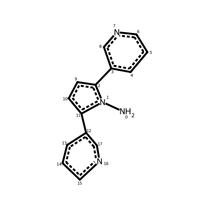 Nn1c(-c2cccnc2)ccc1-c1cccnc1